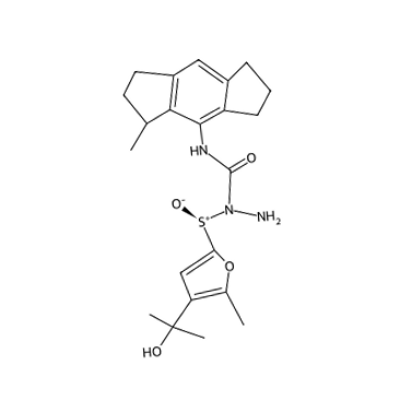 Cc1oc([S@@+]([O-])N(N)C(=O)Nc2c3c(cc4c2C(C)CC4)CCC3)cc1C(C)(C)O